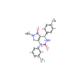 CCCCN1CC2=C(C1=O)[C@@H](c1ccc(C#N)cc1)NC(=O)N2c1cccc(C(F)(F)F)c1